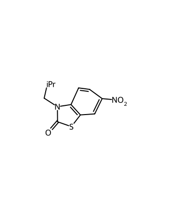 CC(C)Cn1c(=O)sc2cc([N+](=O)[O-])ccc21